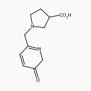 O=C1C=CC(CN2CCC(C(=O)O)C2)=NC1